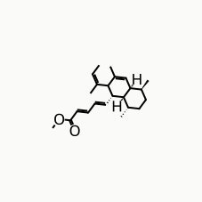 C/C=C(/C)C1C(C)=C[C@@H]2[C@H]([C@@H]1/C=C/C=C/C(=O)OC)[C@@H](C)CC[C@@H]2C